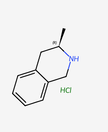 C[C@@H]1Cc2ccccc2CN1.Cl